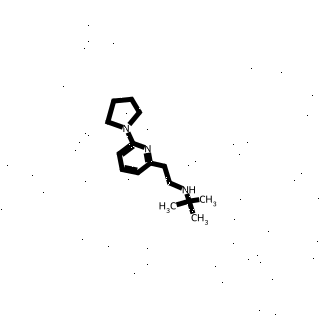 CC(C)(C)NCCc1cccc(N2CCCC2)n1